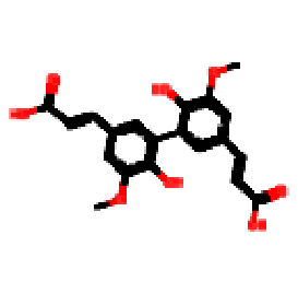 COc1cc(/C=C/C(=O)O)cc(-c2cc(/C=C/C(=O)O)cc(OC)c2O)c1O